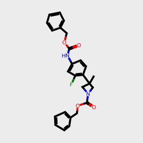 CC1(c2ccc(NC(=O)OCc3ccccc3)cc2F)CN(C(=O)OCc2ccccc2)C1